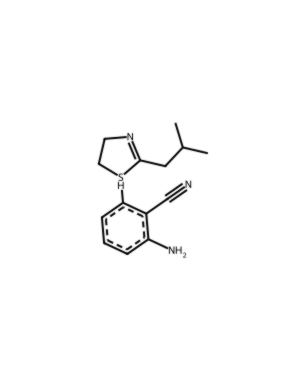 CC(C)CC1=NCC[SH]1c1cccc(N)c1C#N